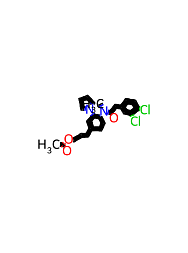 CC(=O)OCCCC1=CC(N2CCCC2)C(N(C)C(=O)Cc2ccc(Cl)c(Cl)c2)CC1